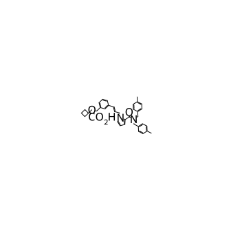 Cc1ccc(CN(Cc2ccc(C)cc2)C(=O)c2cccn2C/C=C/c2cccc(COC3(C(=O)O)CCC3)c2)cc1